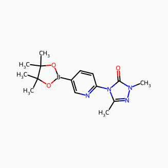 Cc1nn(C)c(=O)n1-c1ccc(B2OC(C)(C)C(C)(C)O2)cn1